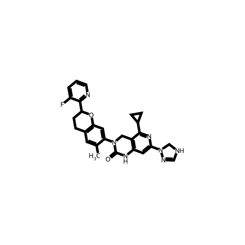 Cc1cc2c(cc1N1Cc3c(cc(N4CNC=N4)nc3C3CC3)NC1=O)OC(c1ncccc1F)CC2